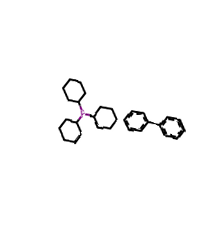 C1CCC(P(C2CCCCC2)C2CCCCC2)CC1.c1ccc(-c2ccccc2)cc1